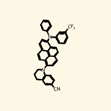 N#Cc1ccc2c(c1)CCCN2c1ccc2ccc3c(N(c4ccccc4)c4cccc(C(F)(F)F)c4)ccc4ccc1c2c43